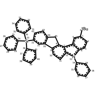 CC(C)(C)c1ccc2c(c1)c1c3c(ccc1n2-c1ccccc1)-c1cc([Si](c2ccccc2)(c2ccccc2)c2ccccc2)ccc1C3